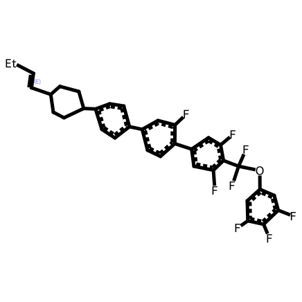 CC/C=C/C1CCC(c2ccc(-c3ccc(-c4cc(F)c(C(F)(F)Oc5cc(F)c(F)c(F)c5)c(F)c4)c(F)c3)cc2)CC1